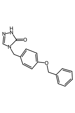 O=c1[nH]ncn1Cc1ccc(OCc2ccccc2)cc1